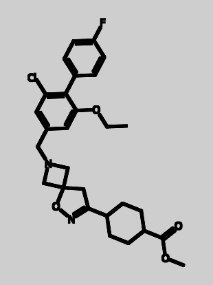 CCOc1cc(CN2CC3(CC(C4CCC(C(=O)OC)CC4)=NO3)C2)cc(Cl)c1-c1ccc(F)cc1